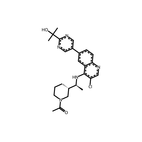 CC(=O)N1CCC[C@H]([C@H](C)Nc2c(Cl)cnc3ccc(-c4cnc(C(C)(C)O)nc4)cc23)C1